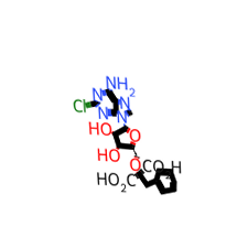 Nc1nc(Cl)nc2c1ncn2[C@@H]1O[C@H](COC(Cc2ccccc2)(C(=O)O)C(=O)O)[C@@H](O)[C@H]1O